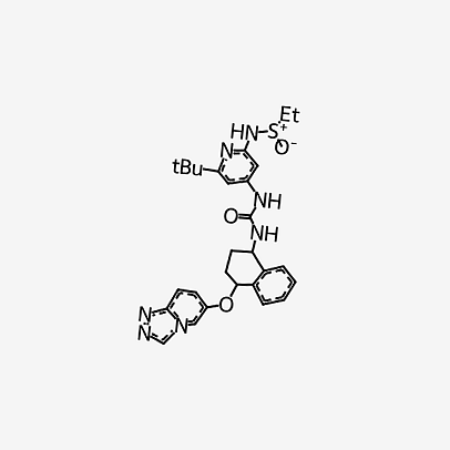 CC[S+]([O-])Nc1cc(NC(=O)NC2CCC(Oc3ccc4nncn4c3)c3ccccc32)cc(C(C)(C)C)n1